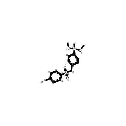 CO[Si](C)(OC)c1ccc(CS(=O)(=O)c2ccc(F)cc2)cc1